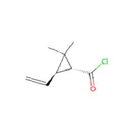 C=C[C@@H]1[C@@H](C(=O)Cl)C1(C)C